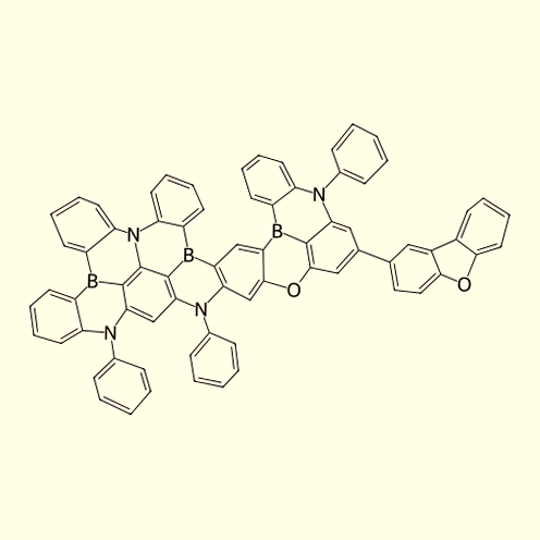 c1ccc(N2c3ccccc3B3c4cc5c(cc4Oc4cc(-c6ccc7oc8ccccc8c7c6)cc2c43)N(c2ccccc2)c2cc3c4c6c2B5c2ccccc2N6c2ccccc2B4c2ccccc2N3c2ccccc2)cc1